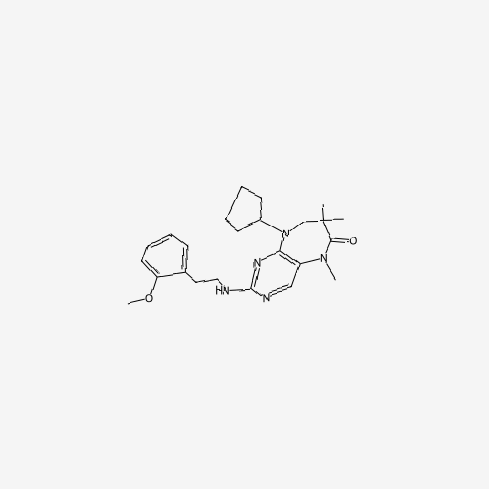 COc1ccccc1CCNc1ncc2c(n1)N(C1CCCC1)CC(C)(C)C(=O)N2C